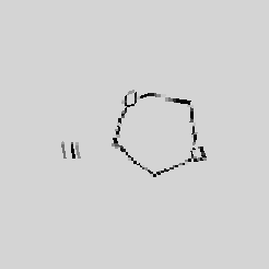 C1COCO1.I